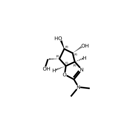 CN(C)C1=N[C@@H]2[C@@H](O)[C@H](O)[C@@H](CO)[C@@H]2O1